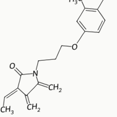 C=C1C(=C)N(CCCOc2ccc(Cl)c(C)c2)C(=O)/C1=C/C